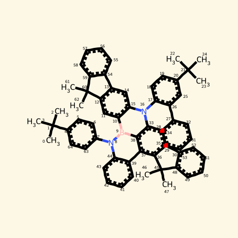 CC(C)(C)c1ccc(N2B3c4cc5c(cc4N(c4ccc(C(C)(C)C)cc4-c4ccccc4)c4cc6c(c(c43)-c3ccccc32)C(C)(C)c2ccccc2-6)-c2ccccc2C5(C)C)cc1